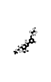 COC(=O)C(=O)NCc1cc(F)cc(-c2cc3c(nc(N(C)C(=O)OC(C)(C)C)c4ncn(C)c43)[nH]2)c1